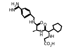 C[C@H](NC(=O)[C@H](NCC(=O)O)C1CCCCC1)C(=O)NCc1ccc(C(=N)N)cc1